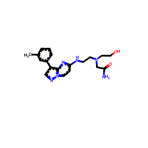 Cc1cccc(-c2cnn3ccc(NCCN(CCO)CC(N)=O)nc23)c1